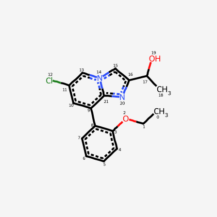 CCOc1ccccc1-c1cc(Cl)cn2cc(C(C)O)nc12